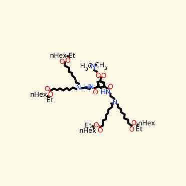 CCCCCCC(CC)OC(=O)CCCCCCCCN(CCCCCCCCC(=O)OC(CC)CCCCCC)CCCNC(=O)c1cc(C(=O)NCCCN(CCCCCCCCC(=O)OC(CC)CCCCCC)CCCCCCCCC(=O)OC(CC)CCCCCC)cc(C(=O)OCCN(C)C)c1